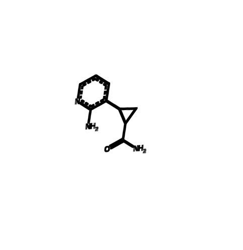 NC(=O)C1CC1c1cccnc1N